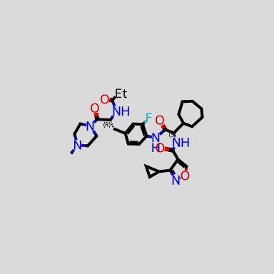 CCC(=O)N[C@H](Cc1ccc(NC(=O)[C@@H](NC(=O)c2conc2C2CC2)C2CCCCCC2)c(F)c1)C(=O)N1CCN(C)CC1